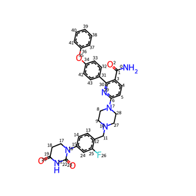 NC(=O)c1ccc(N2CCN(Cc3ccc(N4CCC(=O)NC4=O)cc3F)CC2)nc1-c1ccc(Oc2ccccc2)cc1